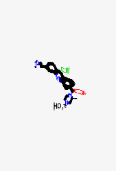 C[C@@H]1CN(C(=O)O)CCN1C(=O)c1ccc2c(Cl)c3c(nc2c1)CC(CCN(C)C)CC3